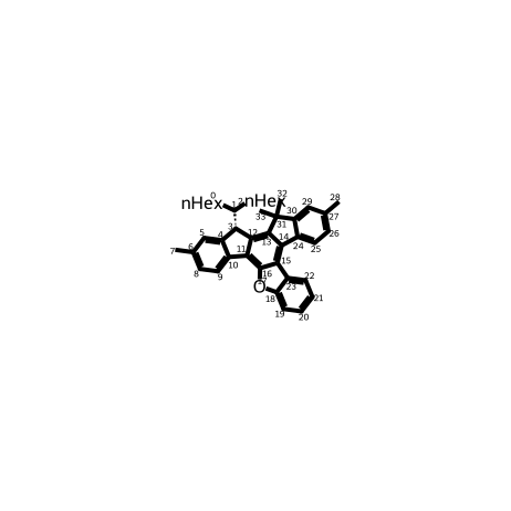 CCCCCCC(CCCCCC)[C@H]1c2cc(C)ccc2-c2c1c1c(c3c2oc2ccccc23)-c2ccc(C)cc2C1(C)C